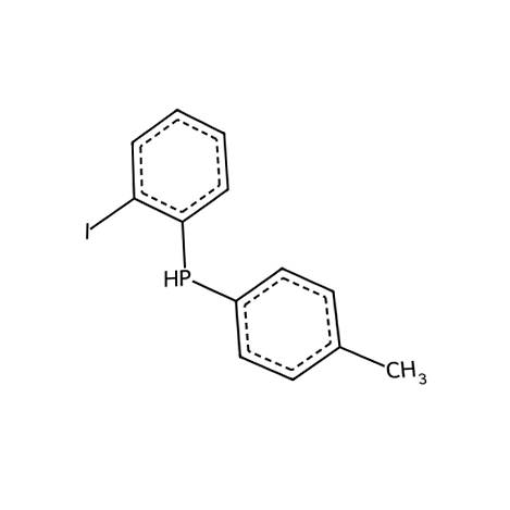 Cc1ccc(Pc2ccccc2I)cc1